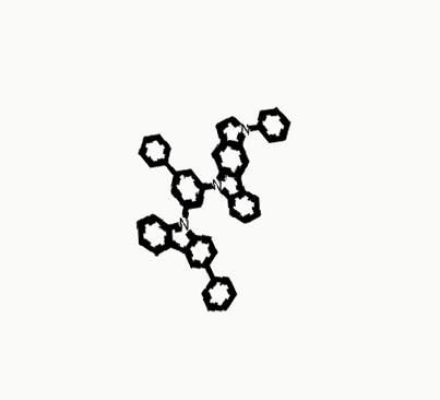 c1ccc(-c2cc(-n3c4ccccc4c4cc(-c5ccccc5)ccc43)cc(-n3c4ccccc4c4cc5c(ccn5-c5ccccc5)cc43)c2)cc1